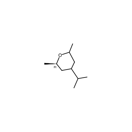 CC1CC(C(C)C)C[C@@H](C)O1